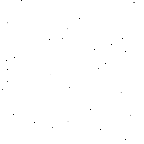 CCC1CCC(C(CO)Cc2cc(F)c(Br)cc2F)CC1